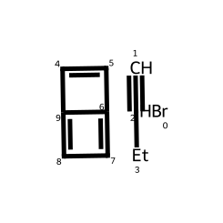 Br.C#CCC.c1cc2ccc1-2